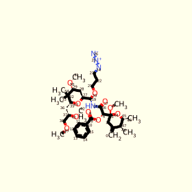 C=C1C[C@](OC)([C@H](OC(=O)c2ccccc2)C(=O)N[C@@H](OCCCN=[N+]=[N-])[C@@H]2C[C@@H](OC)C(C)(C)[C@@H](C[C@@H](COC)OC)O2)O[C@H](C)[C@@H]1C